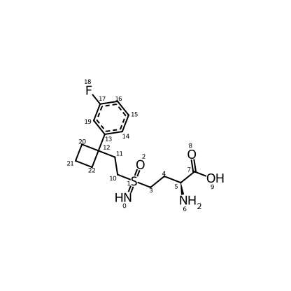 N=S(=O)(CC[C@H](N)C(=O)O)CCC1(c2cccc(F)c2)CCC1